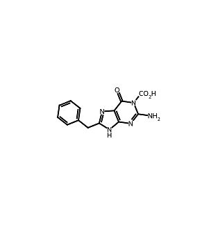 Nc1nc2[nH]c(Cc3ccccc3)nc2c(=O)n1C(=O)O